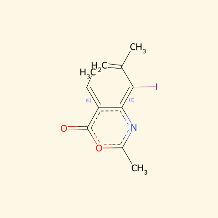 C=C(C)/C(I)=c1/nc(C)oc(=O)/c1=C/C